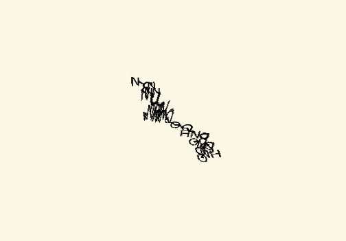 N#Cc1ccnc2c1cnn2-c1cc(NC2CC2)c(-c2cn(CCOCCOCCOCCNc3cccc4c3C(=O)N(C3CCC(=O)NC3=O)C4=O)nn2)cn1